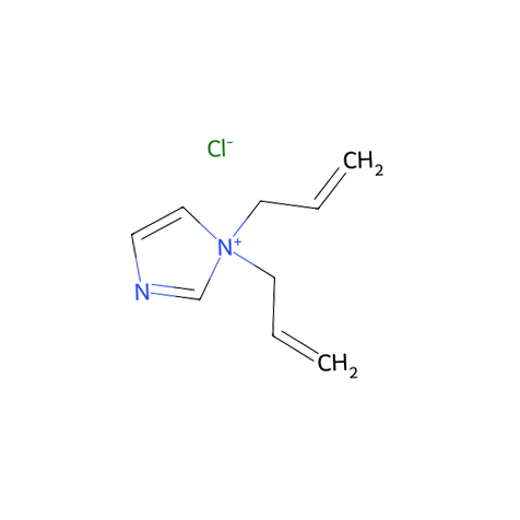 C=CC[N+]1(CC=C)C=CN=C1.[Cl-]